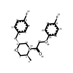 C[C@H]1CO[C@H](Cc2ccc(F)cc2)CN1C(=O)COc1ccc(F)cc1